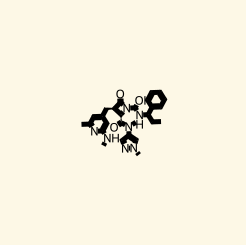 CCC(NC(O)N1C(=O)[C@H](Cc2cc(C)nc(NC)c2)[C@H]1C(=O)N(C)c1cnn(C)c1)c1ccccc1